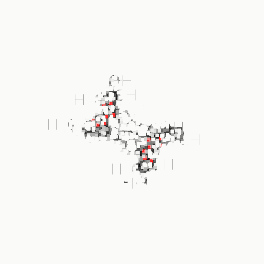 COc1ccc(N(c2ccc(OC)c(C)c2)c2ccc3c(c2)C2(c4cc(N(c5ccc(CO)cc5)c5ccc(CO)c(C)c5)ccc4-3)c3cc(N(c4ccc(CO)cc4)c4ccc(CO)c(C)c4)ccc3-c3ccc(N(c4ccc(OC)cc4)c4ccc(OC)c(C)c4)cc32)cc1